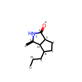 C=C1NC(=O)C2CCC(CCC)C12